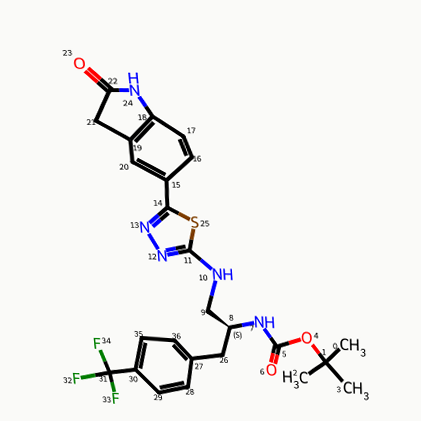 CC(C)(C)OC(=O)N[C@H](CNc1nnc(-c2ccc3c(c2)CC(=O)N3)s1)Cc1ccc(C(F)(F)F)cc1